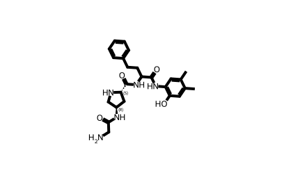 Cc1cc(O)c(NC(=O)C(CCc2ccccc2)NC(=O)[C@@H]2C[C@@H](NC(=O)CN)CN2)cc1C